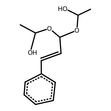 CC(O)OC(/C=C/c1ccccc1)OC(C)O